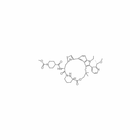 CCn1c(-c2cccnc2[C@H](C)OC)c2c3cc(ccc31)-c1csc(n1)C[C@H](NC(=O)C1CCN(C(=O)OC)CC1)C(=O)N1CCC[C@H](N1)C(=O)OCC(C)(C)C2